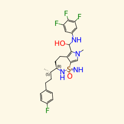 C[C@@H](CCc1ccc(F)cc1)[C@H]1CCc2c(cn(C)c2C(O)Nc2cc(F)c(F)c(F)c2)S(=N)(=O)N1